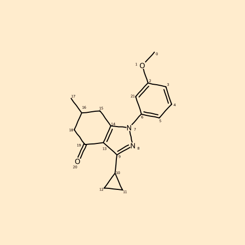 COc1cccc(-n2nc(C3CC3)c3c2CC(C)CC3=O)c1